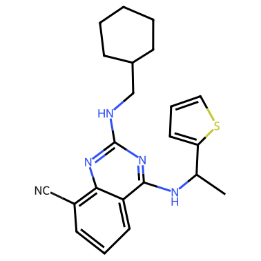 CC(Nc1nc(NCC2CCCCC2)nc2c(C#N)cccc12)c1cccs1